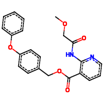 COCC(=O)Nc1ncccc1C(=O)OCc1ccc(Oc2ccccc2)cc1